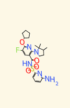 CC1CCN(c2nc(OC3CCCC3)c(F)cc2C(=O)NS(=O)(=O)c2cccc(N)n2)C1(C)C